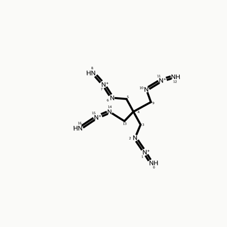 N=[N+]=NCC(CN=[N+]=N)(CN=[N+]=N)CN=[N+]=N